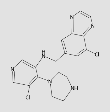 Clc1cncc(NCc2cc(Cl)c3nccnc3c2)c1N1CCNCC1